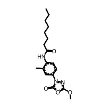 CCCCCCCC(=O)Nc1ccc(-n2nc(OC)oc2=O)cc1C